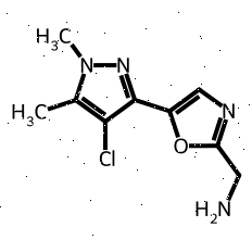 Cc1c(Cl)c(-c2cnc(CN)o2)nn1C